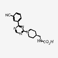 N#Cc1cccc(-c2ncnc(N3CCC(CNC(=O)O)CC3)n2)c1